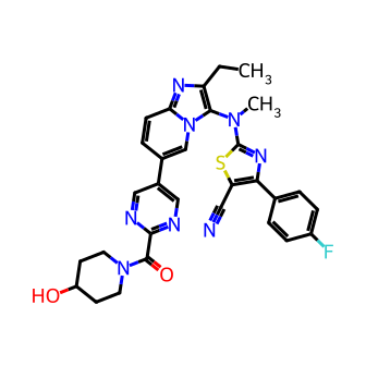 CCc1nc2ccc(-c3cnc(C(=O)N4CCC(O)CC4)nc3)cn2c1N(C)c1nc(-c2ccc(F)cc2)c(C#N)s1